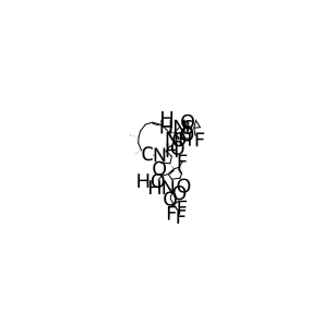 C[C@@H]1CC/C=C\[C@@H]2C[C@@]2(C(=O)NS(=O)(=O)C2(CF)CC2)NC(=O)[C@@H]2C[C@H](C3=C(C(=O)O)[C@H](NC(=O)OC(C)(C)C(F)(F)F)C(=O)C=C3F)CN2CC[C@H](C)C1